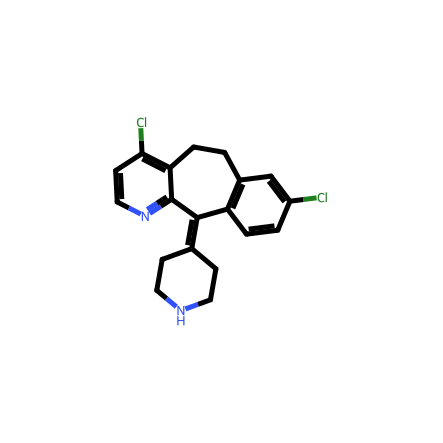 Clc1ccc2c(c1)CCc1c(Cl)ccnc1C2=C1CCNCC1